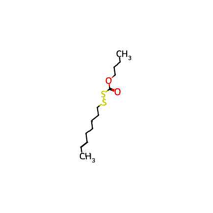 CCCCCCCCSSC(=O)OCCCC